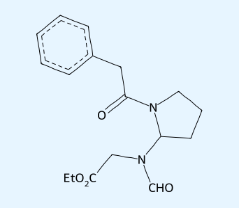 CCOC(=O)CN(C=O)C1CCCN1C(=O)Cc1ccccc1